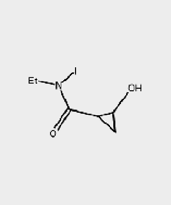 CCN(I)C(=O)C1CC1O